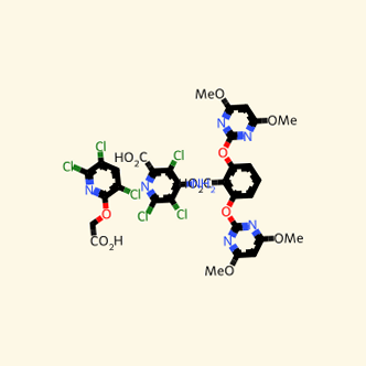 COc1cc(OC)nc(Oc2cccc(Oc3nc(OC)cc(OC)n3)c2C(=O)O)n1.Nc1c(Cl)c(Cl)nc(C(=O)O)c1Cl.O=C(O)COc1nc(Cl)c(Cl)cc1Cl